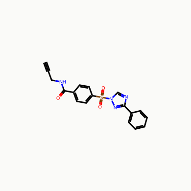 C#CCNC(=O)c1ccc(S(=O)(=O)n2cnc(-c3ccccc3)n2)cc1